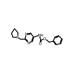 O=C(Nc1cnc(CN2CCCC2)nc1)OCc1ccccc1